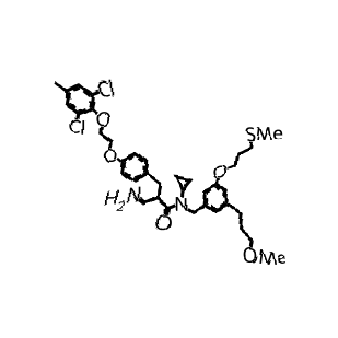 COCCCc1cc(CN(C(=O)C(CN)Cc2ccc(OCCOc3c(Cl)cc(C)cc3Cl)cc2)C2CC2)cc(OCCCSC)c1